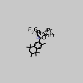 Cc1cc2c(cc1/C(=C/OC(F)(F)F)O[Si](C(C)C)(C(C)C)C(C)C)C(C)(C)CC(C)C2(C)C